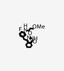 COCCC(=O)Nc1cc(Cc2n[nH]c(=O)c3c2CCCC3)ccc1F